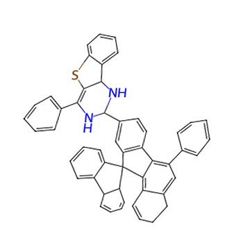 C1=CC2c3ccccc3C3(c4cc(C5NC(c6ccccc6)=C6Sc7ccccc7C6N5)ccc4-c4c(-c5ccccc5)cc5c(c43)C=CCC5)C2C=C1